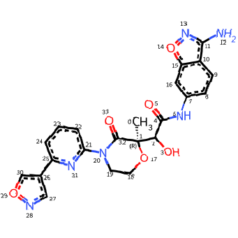 C[C@]1(C(O)C(=O)Nc2ccc3c(N)noc3c2)OCCN(c2cccc(-c3cnoc3)n2)C1=O